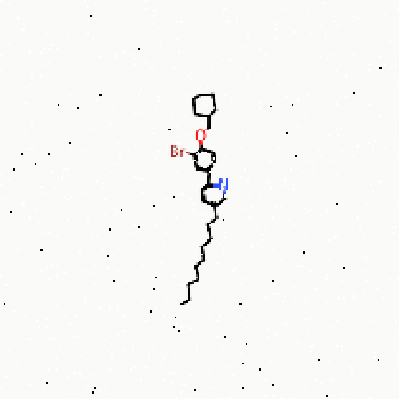 CCCCCCCCCCc1ccc(-c2ccc(OCC3CC[CH]CC3)c(Br)c2)nc1